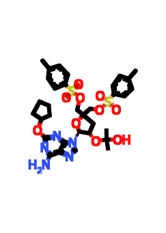 Cc1ccc(S(=O)(=O)OCC2(COS(=O)(=O)c3ccc(C)cc3)C[C@@H](OC(C)(C)O)[C@H](n3cnc4c(N)nc(OC5CCCC5)nc43)O2)cc1